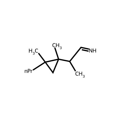 CCCC1(C)CC1(C)C(C)C=N